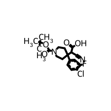 CC(C)(C)OC(=O)N1CCC(c2ccc(Cl)c(F)c2)(C(C#N)C(=O)O)CC1